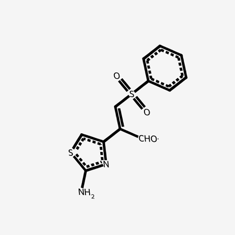 Nc1nc(/C([C]=O)=C/S(=O)(=O)c2ccccc2)cs1